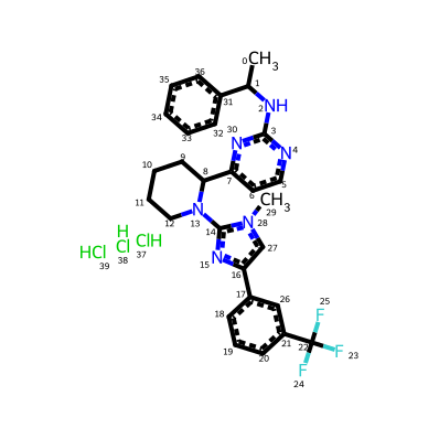 CC(Nc1nccc(C2CCCCN2c2nc(-c3cccc(C(F)(F)F)c3)cn2C)n1)c1ccccc1.Cl.Cl.Cl